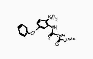 COC(=O)NC(=S)Nc1cc(Oc2ccccc2)ccc1[N+](=O)[O-]